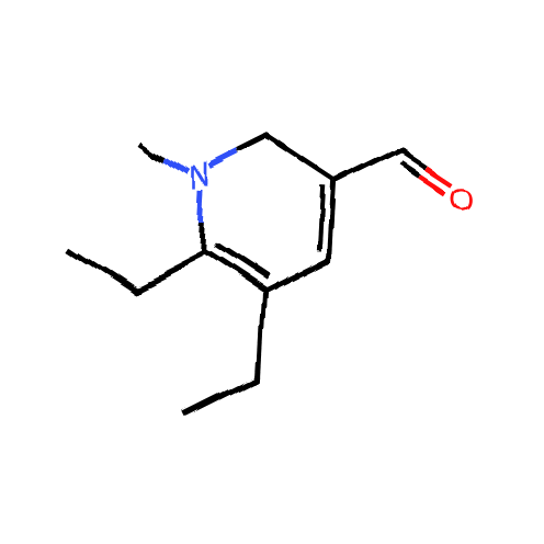 CCC1=C(CC)N(C)CC(C=O)=C1